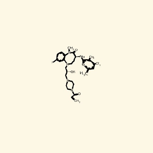 C=CC(=O)N1CCN(C[C@@H](O)CN2CC[C@H](Nc3nc(C)cc(C(F)(F)F)c3C#N)C(=O)N(C)c3ccc(F)cc32)CC1